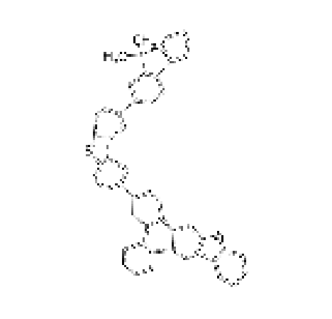 CC1(C)c2ccccc2-c2ccc(-c3ccc4sc5ccc(-c6ccc7c(c6)c6ccccc6c6cc8c(cc76)sc6ccccc68)cc5c4c3)cc21